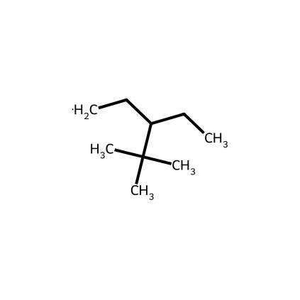 [CH2]CC(CC)C(C)(C)C